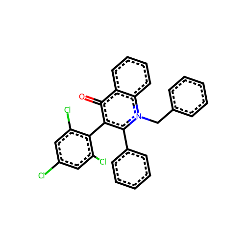 O=c1c(-c2c(Cl)cc(Cl)cc2Cl)c(-c2ccccc2)n(Cc2ccccc2)c2ccccc12